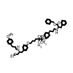 CCOCC(Cc1ccc(OCCCCC(C)(C)C(C)(C)Oc2ccc(CCCNC(Cc3ccccc3)C(=O)OCc3ccccc3)cc2)cc1)NCCCc1ccc(OC(C)C)cc1